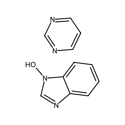 On1cnc2ccccc21.c1cncnc1